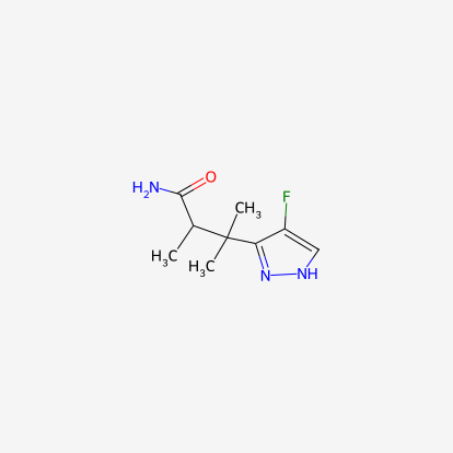 CC(C(N)=O)C(C)(C)c1n[nH]cc1F